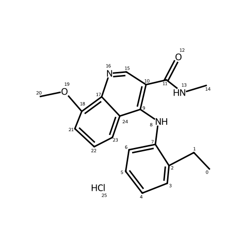 CCc1ccccc1Nc1c(C(=O)NC)cnc2c(OC)cccc12.Cl